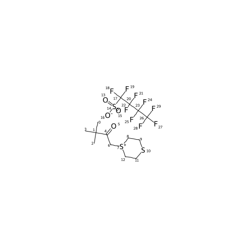 CC(C)(C)C(=O)C[S+]1CCSCC1.O=S(=O)([O-])C(F)(F)C(F)(F)C(F)(F)C(F)(F)F